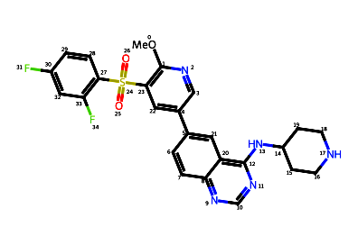 COc1ncc(-c2ccc3ncnc(NC4CCNCC4)c3c2)cc1S(=O)(=O)c1ccc(F)cc1F